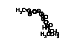 C=CCOC(=O)c1ccc(OC2CCN(C(=O)Oc3ccc(C(=O)NCCC(C)(C)C)cc3)CC2)cc1